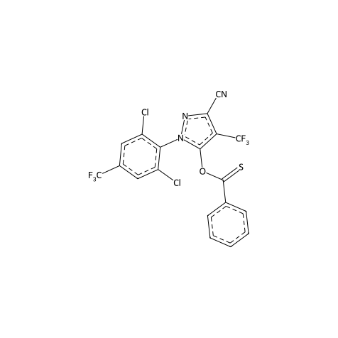 N#Cc1nn(-c2c(Cl)cc(C(F)(F)F)cc2Cl)c(OC(=S)c2ccccc2)c1C(F)(F)F